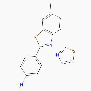 Cc1ccc2nc(-c3ccc(N)cc3)sc2c1.c1cscn1